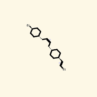 CC/C=C/[C@H]1CC[C@H](C/C=C\C[C@H]2CC[C@H](CC)CC2)CC1